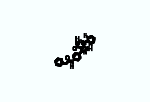 NC(=O)c1c(-c2ccc(NC(=O)Cc3ccccc3)cc2)n[nH]c1Nc1ncccc1F